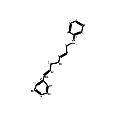 C(=CCOc1ccccc1)CCC=Cc1ccccc1